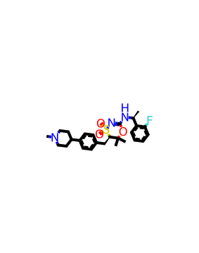 C[C@H](NC1=NS(=O)(=O)[C@H](Cc2ccc(C3CCN(C)CC3)cc2)C(C)(C)O1)c1ccccc1F